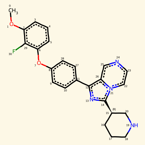 COc1cccc(Oc2ccc(-c3nc([C@@H]4CCCNC4)n4ccncc34)cc2)c1F